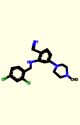 N=Cc1ccc(N2CCN(C=O)CC2)cc1NCc1ccc(Cl)cc1Cl